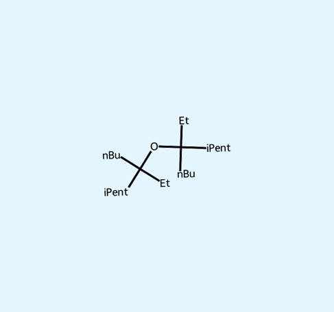 CCCCC(CC)(OC(CC)(CCCC)C(C)CCC)C(C)CCC